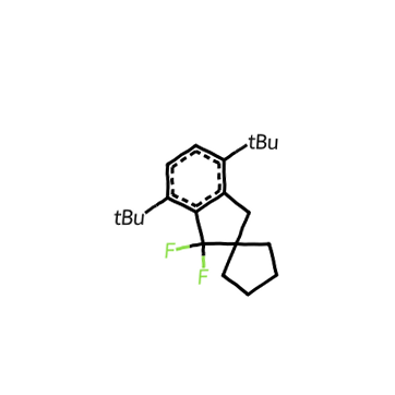 CC(C)(C)c1ccc(C(C)(C)C)c2c1CC1(CCCC1)C2(F)F